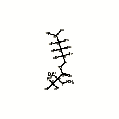 CCC(C)(C(=O)OCC(F)(F)C(F)(F)C(F)(F)C(F)F)C(F)(F)F